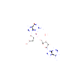 C[C@]1(COP(O)(=S)[C@@H]2[C@H](F)[C@@H](CO)O[C@H]2n2cnc3c(=O)[nH]c(N)nc32)O[C@@H](n2cnc3c(N)ncnc32)[C@H](O)[C@@H]1O